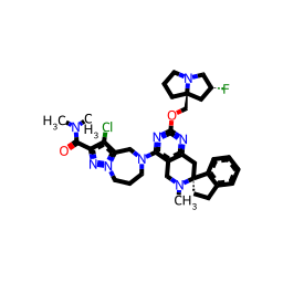 CN(C)C(=O)c1nn2c(c1Cl)CN(c1nc(OC[C@@]34CCCN3C[C@H](F)C4)nc3c1CN(C)[C@@]1(CCc4ccccc41)C3)CCC2